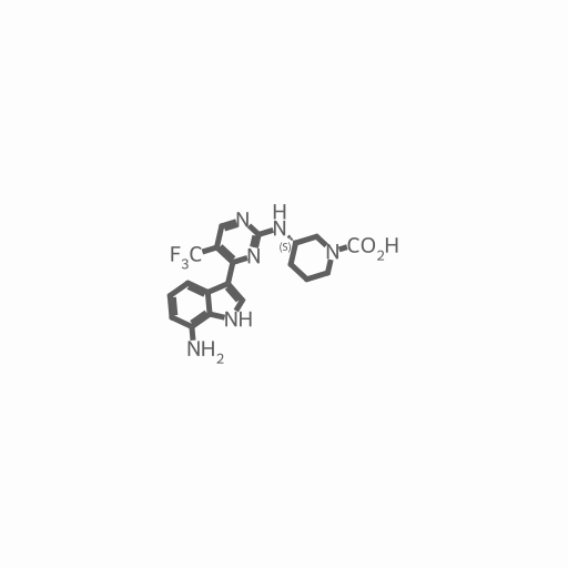 Nc1cccc2c(-c3nc(N[C@H]4CCCN(C(=O)O)C4)ncc3C(F)(F)F)c[nH]c12